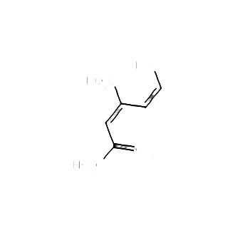 C=C(/C=C(\C=C/C)C(=O)O)C(=O)O